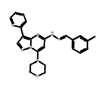 Cc1cccc(C=NNc2cc(N3CCOCC3)n3ncc(-c4ccccn4)c3n2)c1